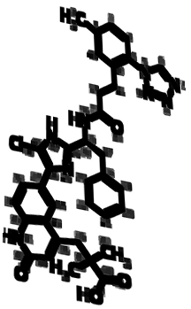 Cc1ccc(-n2cnnn2)c(CCC(=O)N[C@@H](Cc2ccccc2)c2nc(-c3ccc4[nH]c(=O)cc(CC(C)(C)C(=O)O)c4c3)c(Cl)[nH]2)c1